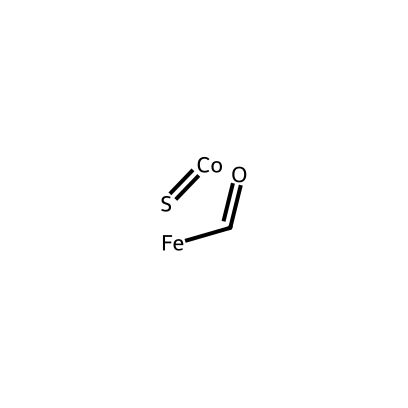 O=[CH][Fe].[S]=[Co]